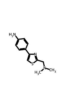 CN(C)Cc1nc(-c2ccc(N)cc2)cs1